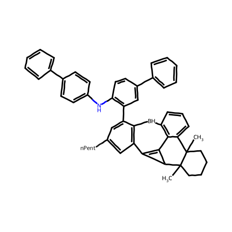 CCCCCc1cc2c(c(-c3cc(-c4ccccc4)ccc3Nc3ccc(-c4ccccc4)cc3)c1)Bc1cccc3c1C1=C2C1C1(C)CCCCC31C